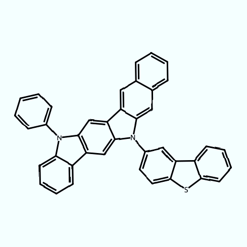 c1ccc(-n2c3ccccc3c3cc4c(cc32)c2cc3ccccc3cc2n4-c2ccc3sc4ccccc4c3c2)cc1